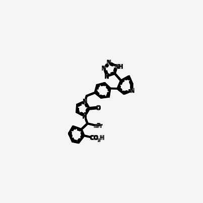 CCCC(c1ccccc1C(=O)O)n1ccn(Cc2ccc(-c3cnccc3-c3nnn[nH]3)cc2)c1=O